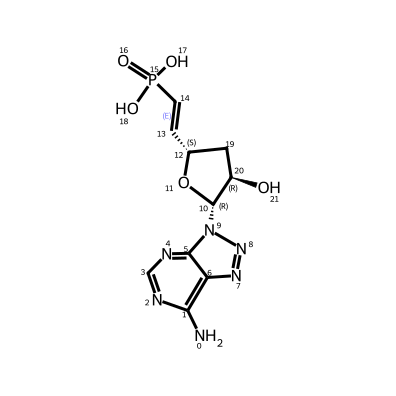 Nc1ncnc2c1nnn2[C@@H]1O[C@H](/C=C/P(=O)(O)O)C[C@H]1O